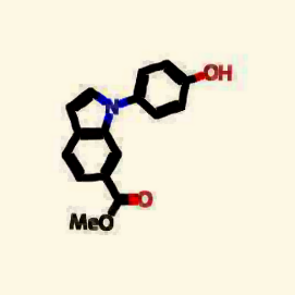 COC(=O)c1ccc2ccn(-c3ccc(O)cc3)c2c1